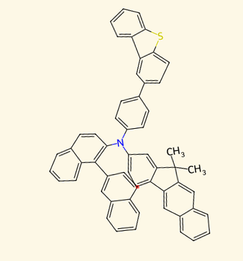 CC1(C)c2cc(N(c3ccc(-c4ccc5sc6ccccc6c5c4)cc3)c3ccc4ccccc4c3-c3ccc4ccccc4c3)ccc2-c2cc3ccccc3cc21